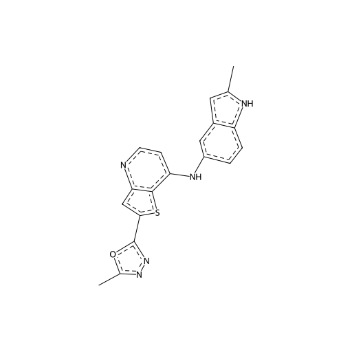 Cc1cc2cc(Nc3ccnc4cc(-c5nnc(C)o5)sc34)ccc2[nH]1